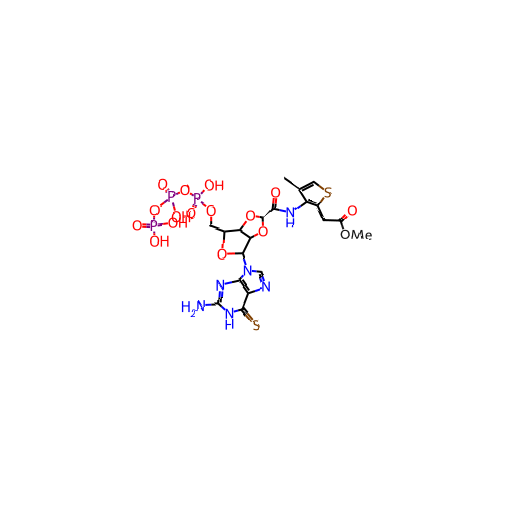 COC(=O)Cc1scc(C)c1NC(=O)[C@@H]1OC2C(COP(=O)(O)OP(=O)(O)OP(=O)(O)O)OC(n3cnc4c(=S)[nH]c(N)nc43)C2O1